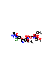 COCP(=O)(NC(C)C(=O)O)OCCOC(=O)NC(=O)c1cc2c(Oc3ccc(NC(=O)NC4CC4)c(Cl)c3)ccnc2cc1OC